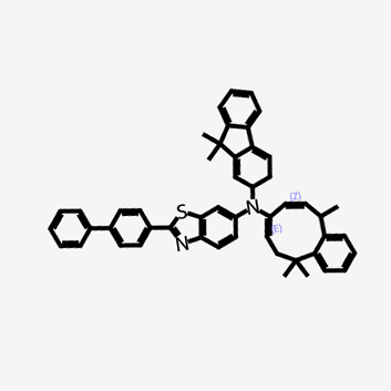 CC1/C=C\C(N(c2ccc3nc(-c4ccc(-c5ccccc5)cc4)sc3c2)C2C=C3C(=CC2)c2ccccc2C3(C)C)=C/CC(C)(C)c2ccccc21